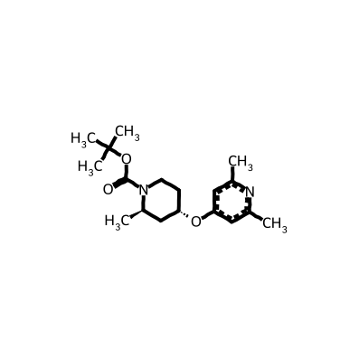 Cc1cc(O[C@H]2CCN(C(=O)OC(C)(C)C)[C@H](C)C2)cc(C)n1